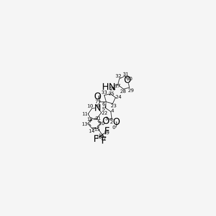 COC(=O)CC[C@]1(C(=O)N2CCc3ccc(C(F)(F)F)cc3C2)CC[C@@H](NC2CCOCC2)C1